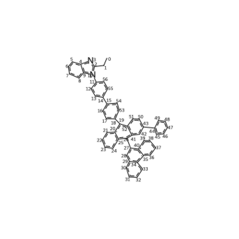 CCc1nc2ccccc2n1-c1ccc(-c2ccc(-c3c4ccccc4c(-c4cc5ccccc5c5ccccc45)c4cc(-c5ccccc5)ccc34)cc2)cc1